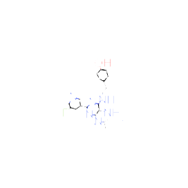 CC(C)N(C)c1nc(-c2cncc(F)c2)nc(NCCc2ccc(O)cc2)c1N